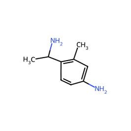 Cc1cc(N)ccc1C(C)N